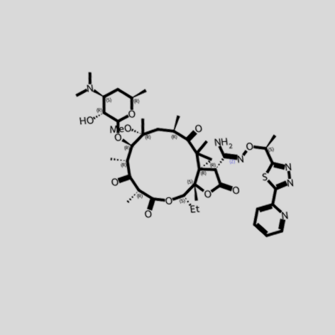 CC[C@@H]1OC(=O)[C@H](C)C(=O)[C@H](C)[C@@H](OC2O[C@H](C)C[C@H](N(C)C)[C@H]2O)[C@](C)(OC)C[C@@H](C)C(=O)C2(C)C[C@@]23[C@H](/C(N)=N/O[C@@H](C)c2nnc(-c4ccccn4)s2)C(=O)O[C@]13C